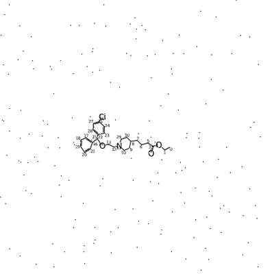 CCOC(=O)CCCC1CCN(CCOC(c2ccccc2)c2ccc(Cl)cc2)CC1